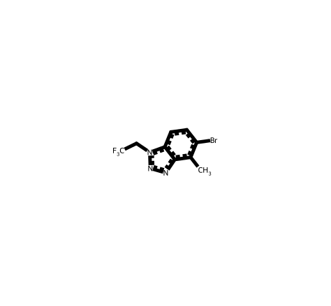 Cc1c(Br)ccc2c1nnn2CC(F)(F)F